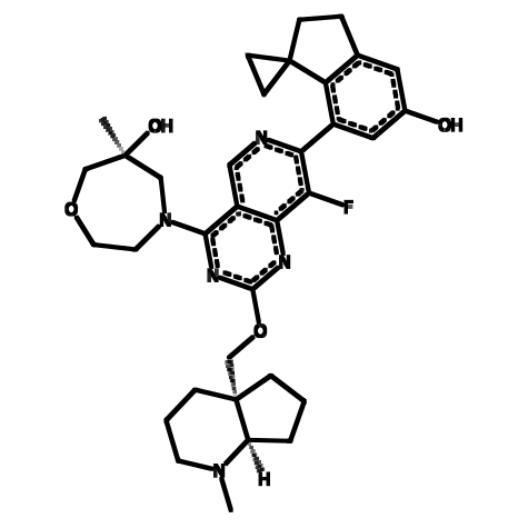 CN1CCC[C@@]2(COc3nc(N4CCOC[C@@](C)(O)C4)c4cnc(-c5cc(O)cc6c5C5(CC6)CC5)c(F)c4n3)CCC[C@@H]12